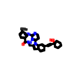 COc1ccc(C(=O)NCc2cc3ccc(C#CC4(O)CCCCC4)cc3n2-c2ccnc(N)n2)cc1